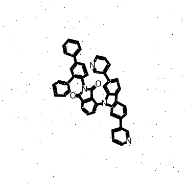 O=C1c2cccc(-n3c4cc(-c5cccnc5)ccc4c4ccc(-c5cccnc5)cc43)c2C(=O)N1c1ccc(-c2ccccc2)cc1-c1ccccc1